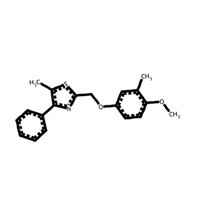 COc1ccc(OCc2nc(-c3ccccc3)c(C)s2)cc1C